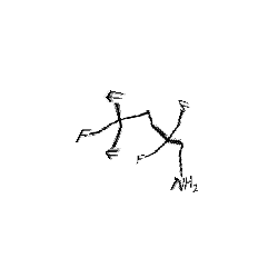 NCC(F)(F)CC(F)(F)F